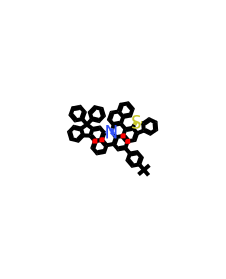 CC(C)(C)c1ccc(-c2ccc(N(c3ccc4c(c3)C(c3ccccc3)(c3ccccc3)c3ccccc3-4)c3ccc4ccccc4c3-c3cccc4c3sc3ccccc34)c(-c3ccccc3)c2)cc1